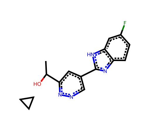 C1CC1.CC(O)c1cc(-c2nc3ccc(F)cc3[nH]2)cnn1